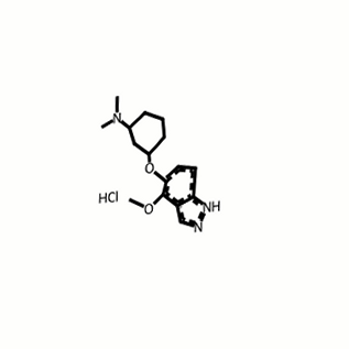 COc1c(OC2CCCC(N(C)C)C2)ccc2[nH]ncc12.Cl